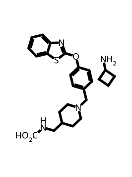 NC1CCC1.O=C(O)NCC1CCN(Cc2ccc(Oc3nc4ccccc4s3)cc2)CC1